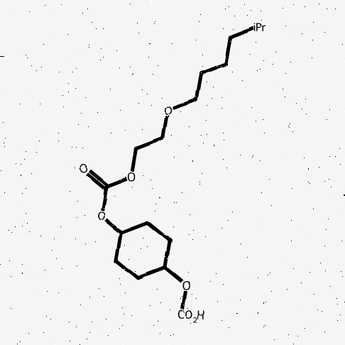 CC(C)CCCCOCCOC(=O)OC1CCC(OC(=O)O)CC1